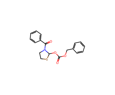 O=C(OCc1ccccc1)OC1SCCN1C(=O)c1ccccc1